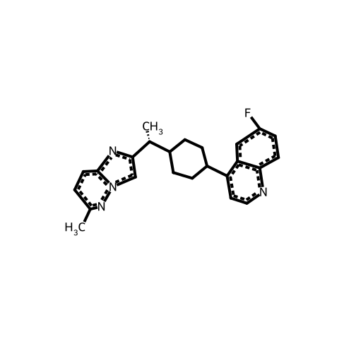 Cc1ccc2nc([C@H](C)C3CCC(c4ccnc5ccc(F)cc45)CC3)cn2n1